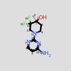 C[C@]1(O)CCN(c2nccc(N)n2)CC1(F)F